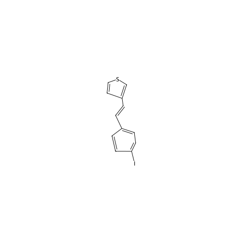 Ic1ccc(/C=C/c2ccsc2)cc1